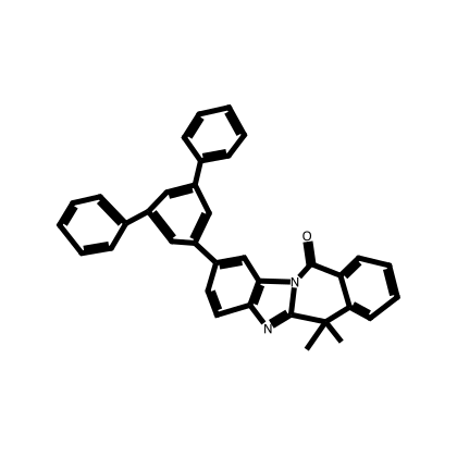 CC1(C)c2ccccc2C(=O)n2c1nc1ccc(-c3cc(-c4ccccc4)cc(-c4ccccc4)c3)cc12